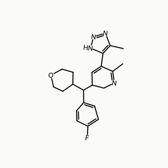 CC1=NCC(C(c2ccc(F)cc2)C2CCOCC2)C=C1c1[nH]nnc1C